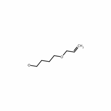 C=CCOCCCC[O]